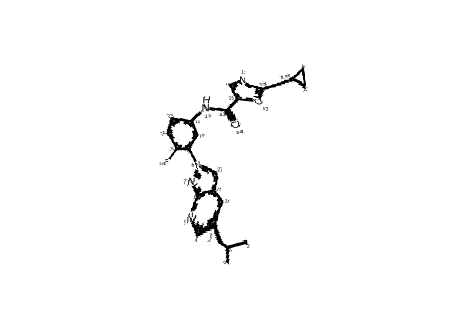 CC(C)c1cnc2nn(-c3cc(NC(=O)c4cnc(C5CC5)o4)ccc3F)cc2c1